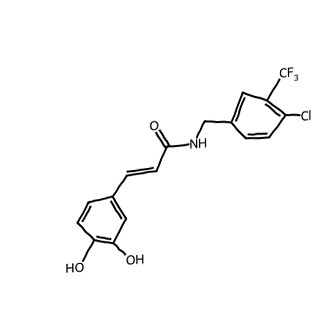 O=C(/C=C/c1ccc(O)c(O)c1)NCc1ccc(Cl)c(C(F)(F)F)c1